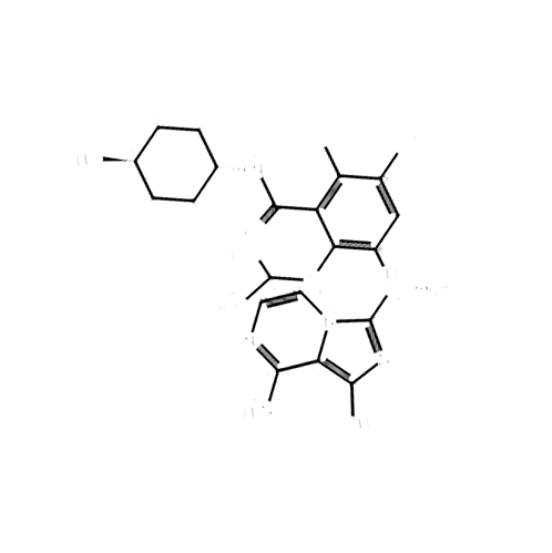 Cc1nc([Si@@H](C)c2cc(Cl)c(F)c(C(=O)N[C@H]3CC[C@H](O)CC3)c2OC(C)C)n2ccnc(N)c12